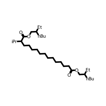 CCCCC(CC)COC(=O)CCCCCCCCCCCCC(C(=O)OCC(CC)CCCC)C(C)C